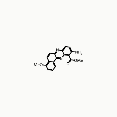 COC(=O)c1c(N)ccc2nc3ccc4c(OC)cccc4c3nc12